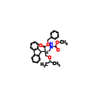 COC(=O)NC[C@@](COC(C)C)(C(=O)OCc1ccccc1)C1c2ccccc2-c2ccccc21